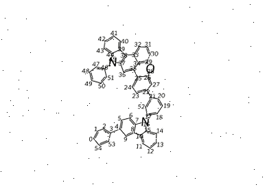 c1ccc(-c2ccc3c(c2)c2ccccc2n3-c2cccc(-c3ccc4c(c3)Oc3cccc5c3c-4cc3c5c4ccccc4n3-c3ccccc3)c2)cc1